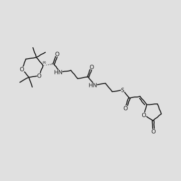 CC1(C)OCC(C)(C)[C@H](C(=O)NCCC(=O)NCCSC(=O)C=C2CCC(=O)O2)O1